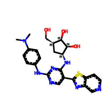 CN(C)c1ccc(Nc2ncc(-c3nc4cnccc4s3)c(N[C@@H]3C[C@H](CO)[C@@H](O)[C@H]3O)n2)cc1